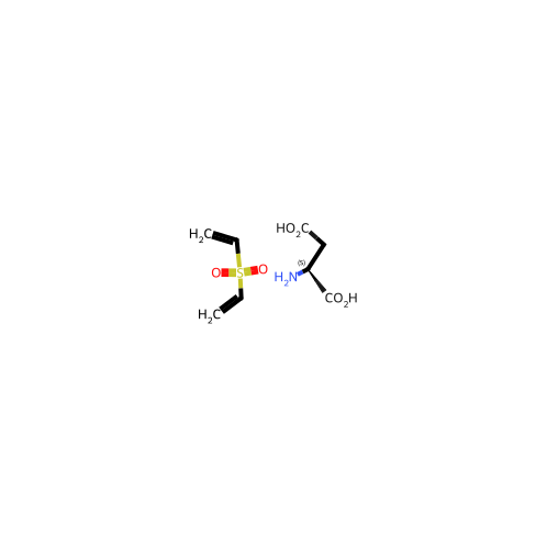 C=CS(=O)(=O)C=C.N[C@@H](CC(=O)O)C(=O)O